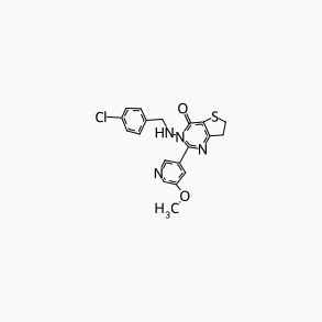 COc1cncc(-c2nc3c(c(=O)n2NCc2ccc(Cl)cc2)SCC3)c1